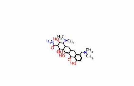 CN(C)Cc1ccc(O)c2c1CC1CC3[C@H](N(C)C)C(O)C(C(N)=O)C(=O)[C@@]3(O)C(O)=C1C2=O